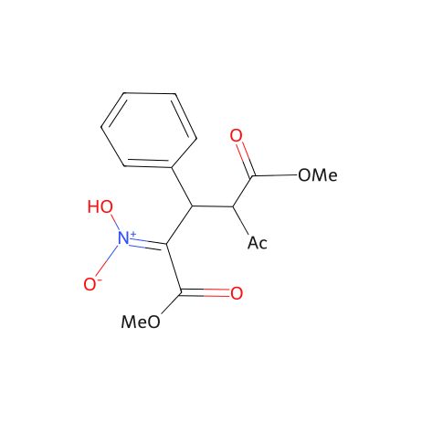 COC(=O)C(C(c1ccccc1)C(C(C)=O)C(=O)OC)=[N+]([O-])O